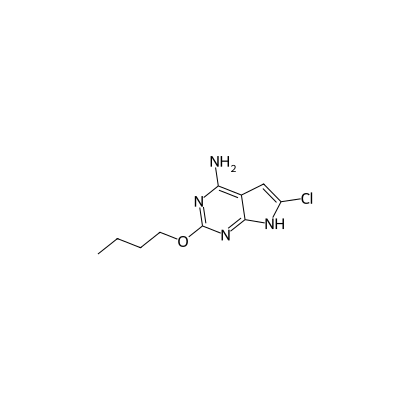 CCCCOc1nc(N)c2cc(Cl)[nH]c2n1